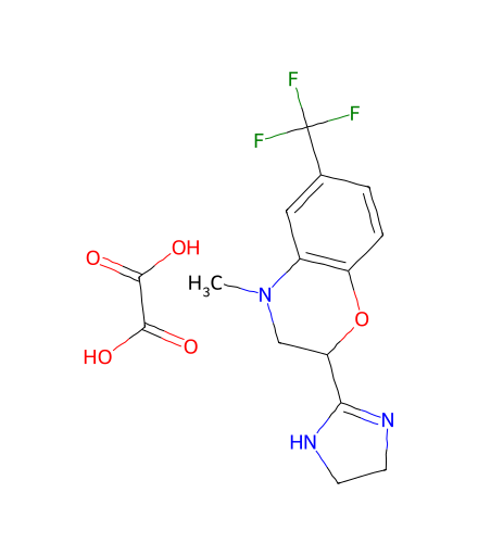 CN1CC(C2=NCCN2)Oc2ccc(C(F)(F)F)cc21.O=C(O)C(=O)O